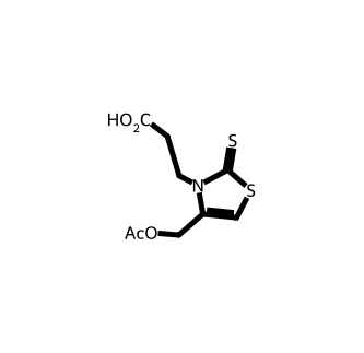 CC(=O)OCc1csc(=S)n1CCC(=O)O